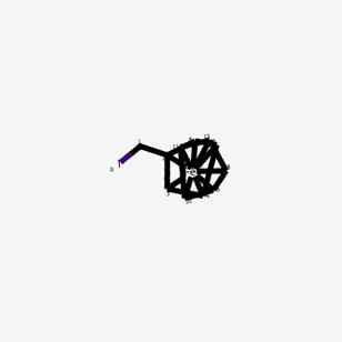 IC[C]12[CH]3[CH]4[CH]5[CH]1[Fe]45321678[CH]2[CH]1[CH]6[CH]7[CH]28